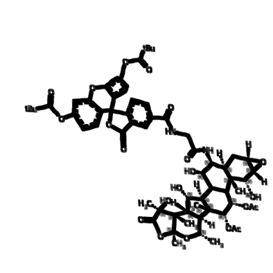 CC(=O)O[C@H]1C2C([C@@H](O)[C@@H](NC(=O)CNC(=O)c3ccc4c(c3)C(=O)OC43c4ccc(OC(=O)C(C)(C)C)cc4Oc4cc(OC(=O)C(C)(C)C)ccc43)[C@H]3C[C@@H]4O[C@@H]4[C@H](O)[C@]23C)[C@@H]2[C@@H](O)[C@@H]3[C@H]([C@H](C)O[C@@]4(C)OC(=O)[C@@](C)(O)[C@]34C)[C@@]2(C)[C@H]1OC(C)=O